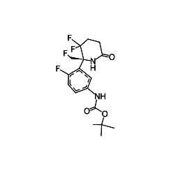 CC(C)(C)OC(=O)Nc1ccc(F)c([C@@]2(CF)NC(=O)CCC2(F)F)c1